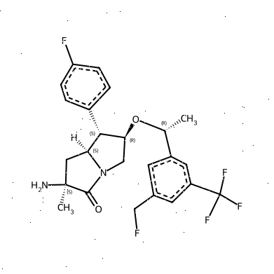 C[C@@H](O[C@H]1CN2C(=O)[C@@](C)(N)C[C@H]2[C@@H]1c1ccc(F)cc1)c1cc(CF)cc(C(F)(F)F)c1